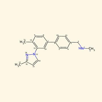 CNCc1ccc(-c2ccc(C)c(-n3ccc(C)n3)c2)cc1